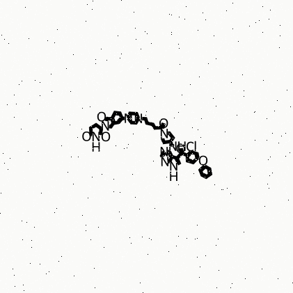 O=C1CCC(N2Cc3cc(N4CCN(CCCCC(=O)N5CCC(Nc6ncnc7[nH]cc(C(=O)c8ccc(Oc9ccccc9)cc8Cl)c67)CC5)CC4)ccc3C2=O)C(=O)N1